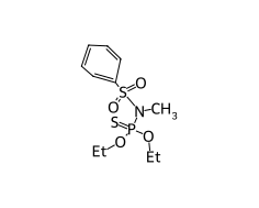 CCOP(=S)(OCC)N(C)S(=O)(=O)c1ccccc1